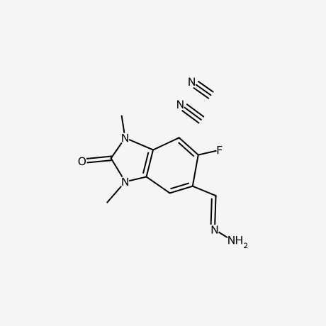 C#N.C#N.Cn1c(=O)n(C)c2cc(C=NN)c(F)cc21